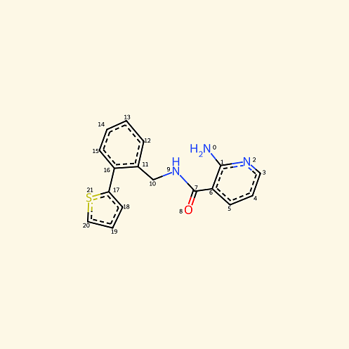 Nc1ncccc1C(=O)NCc1ccccc1-c1cccs1